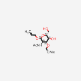 C=CCO[C@@H]1O[C@H](CO)[C@@H](O)[C@H](OCOC)[C@H]1NC(C)=O